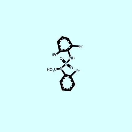 CC(C)c1ccccc1N(C(=O)O)S(=O)(=O)Nc1c(C(C)C)cccc1C(C)C